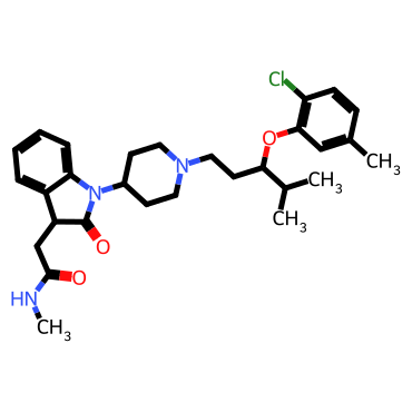 CNC(=O)CC1C(=O)N(C2CCN(CCC(Oc3cc(C)ccc3Cl)C(C)C)CC2)c2ccccc21